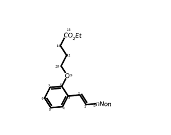 CCCCCCCCCC=Cc1ccccc1OCCCC(=O)OCC